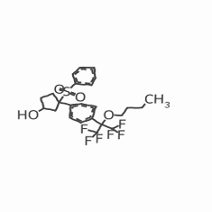 CCCCOC(c1ccc(C2(S(=O)(=O)c3ccccc3)CCC(O)C2)cc1)(C(F)(F)F)C(F)(F)F